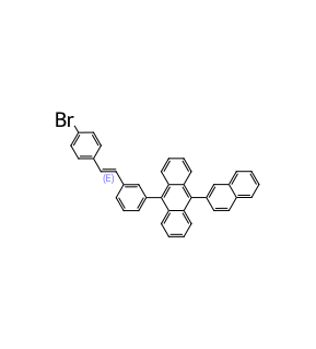 Brc1ccc(/C=C/c2cccc(-c3c4ccccc4c(-c4ccc5ccccc5c4)c4ccccc34)c2)cc1